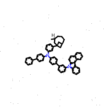 C[C@H]1CCCC2CC(c3cccc(N(c4ccc(-c5ccccc5)cc4)c4ccc(-c5cccc(-n6c7ccccc7c7c8ccccc8ccc76)c5)cc4)c3)(C2)C1